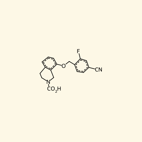 N#Cc1ccc(COc2cccc3c2CN(C(=O)O)CC3)c(F)c1